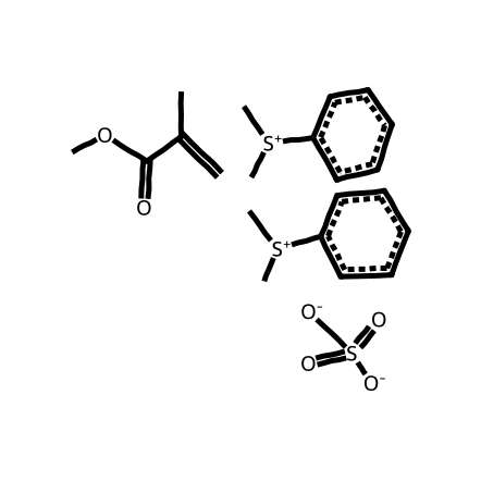 C=C(C)C(=O)OC.C[S+](C)c1ccccc1.C[S+](C)c1ccccc1.O=S(=O)([O-])[O-]